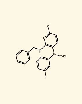 O=CN(c1cccc(F)c1)c1ccc(Cl)nc1NCc1ccncc1